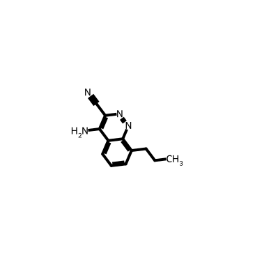 CCCc1cccc2c(N)c(C#N)nnc12